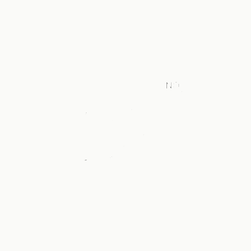 O=[N+]([O-])CC1C2CCC3CC2C1C3